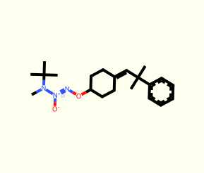 CN(/[N+]([O-])=N/OC1CCC(=CC(C)(C)c2ccccc2)CC1)C(C)(C)C